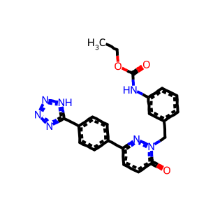 CCOC(=O)Nc1cccc(Cn2nc(-c3ccc(-c4nnn[nH]4)cc3)ccc2=O)c1